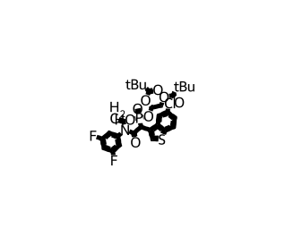 C=CN(C(=O)C(c1csc2ccc(Cl)cc12)P(=O)(O)OC(COC(=O)C(C)(C)C)OC(=O)C(C)(C)C)c1cc(F)cc(F)c1